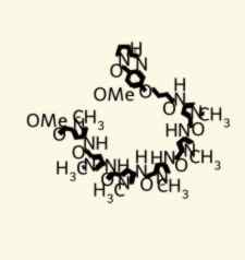 COC(=O)c1cc(NC(=O)c2cc(NC(=O)c3cc(NC(=O)c4cc(NC(=O)c5cc(NC(=O)c6cc(NC(=O)CCCOC7=C(OC)CC8C(=O)N9CCC[C@H]9C=NC8=C7)cn6C)cn5C)cn4C)cn3C)cn2C)cn1C